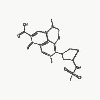 CN1COc2c(N3CCC(NS(C)(=O)=O)C3)c(F)cc3c(=O)c(C(=O)O)cn1c23